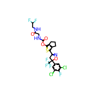 O=C(CNC(=O)Oc1sc(C2=NOC(c3cc(Cl)c(F)c(Cl)c3)(C(F)(F)F)C2)c2c1CCC2)NCC(F)F